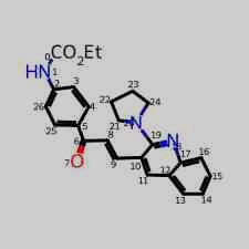 CCOC(=O)Nc1ccc(C(=O)C=Cc2cc3ccccc3nc2N2CCCC2)cc1